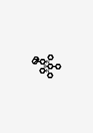 c1ccc(-c2cc3c4c(c2)N(c2ccccc2)c2ccc(C56CC7CC(CC(C7)C5)C6)cc2B4c2ccccc2N3c2ccccc2)cc1